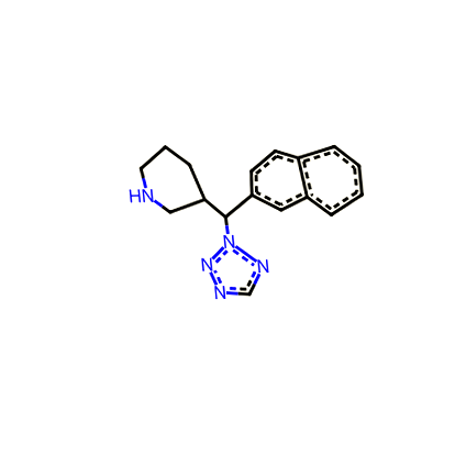 c1ccc2cc(C(C3CCCNC3)n3ncnn3)ccc2c1